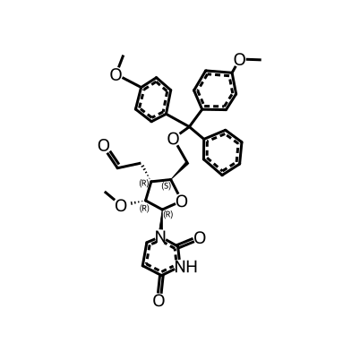 COc1ccc(C(OC[C@H]2O[C@@H](n3ccc(=O)[nH]c3=O)[C@H](OC)[C@@H]2CC=O)(c2ccccc2)c2ccc(OC)cc2)cc1